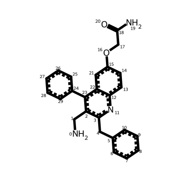 NCc1c(Cc2ccccc2)nc2ccc(OCC(N)=O)cc2c1-c1ccccc1